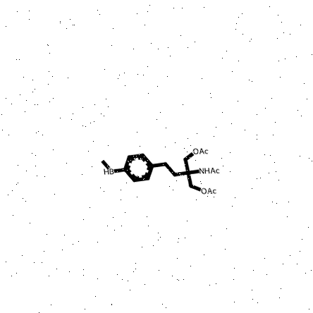 CBc1ccc(CCC(COC(C)=O)(COC(C)=O)NC(C)=O)cc1